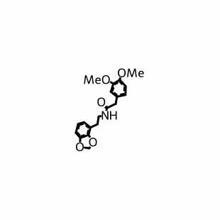 COc1ccc(CC(=O)NCCc2cccc3c2OCO3)cc1OC